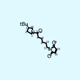 CC(C)(C)[C@@H]1CCN(C(=O)CCCCCN2C(=O)C=CC2=O)C1